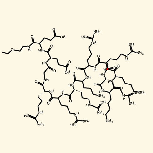 CCOCCNC(=O)C(CCC(=O)O)NC(=O)[C@@H](CCC(=O)O)NC(=O)CNC(=O)[C@@H](CCCNC(=N)N)NC(=O)C(CCCNC(=N)N)NC(=O)[C@@H](CCCNC(=N)N)NC(=O)C(CCCN)NC(=O)[C@@H](CCCNC(=N)N)NC(=O)C(CCCNC(=N)N)NC(=O)[C@@H](CCCCN)NC(=O)C(CCCCN)NC(=O)[C@@H](CCCNC(=N)N)NC(C)=O